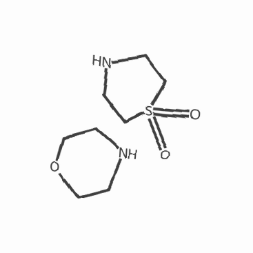 C1COCCN1.O=S1(=O)CCNCC1